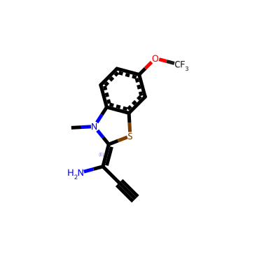 C#C/C(N)=C1\Sc2cc(OC(F)(F)F)ccc2N1C